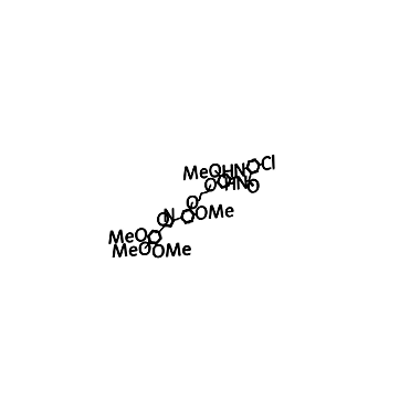 COc1cc(C2NC(=O)c3cc(Cl)ccc3N2)ccc1OCCCOc1cc(-c2cc(-c3cc(OC)c(OC)c(OC)c3)on2)ccc1OC